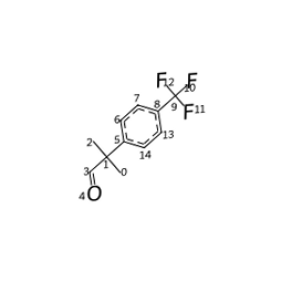 CC(C)(C=O)c1ccc(C(F)(F)F)cc1